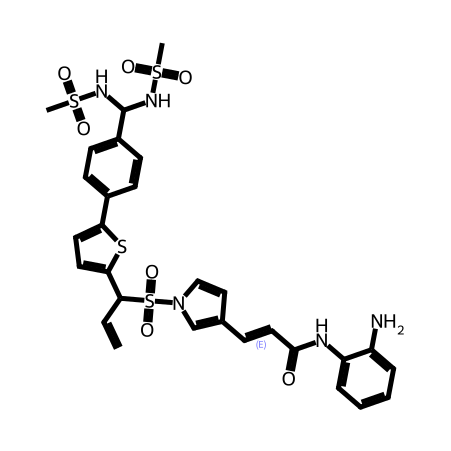 C=CC(c1ccc(-c2ccc(C(NS(C)(=O)=O)NS(C)(=O)=O)cc2)s1)S(=O)(=O)n1ccc(/C=C/C(=O)Nc2ccccc2N)c1